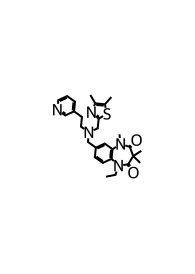 CCN1C(=O)C(C)(C)C(=O)N(C)c2cc(CN(CCc3cccnc3)Cc3nc(C)c(C)s3)ccc21